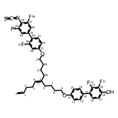 C=CCC/C=C(\CCCCOc1ccc(-c2ccc(O)c(F)c2F)cc1)CCCCOc1ccc(-c2cc(F)c(N=C=S)c(F)c2)c(F)c1